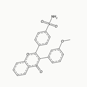 COc1cccc(-c2c(-c3ccc(S(N)(=O)=O)cc3)oc3ccccc3c2=O)c1